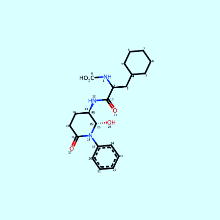 O=C(O)NC(CC1CCCCC1)C(=O)N[C@@H]1CCC(=O)N(c2ccccc2)[C@H]1O